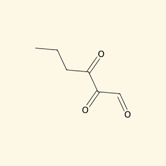 CCCC(=O)C(=O)C=O